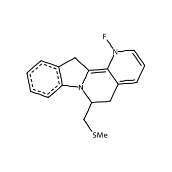 CSCC1CC2=CC=CN(F)C2=C2Cc3ccccc3N21